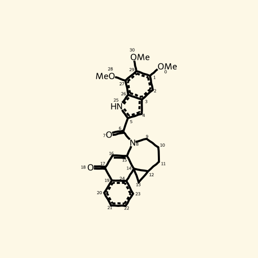 COc1cc2cc(C(=O)N3CCCC4CC45C3=CC(=O)c3ccccc35)[nH]c2c(OC)c1OC